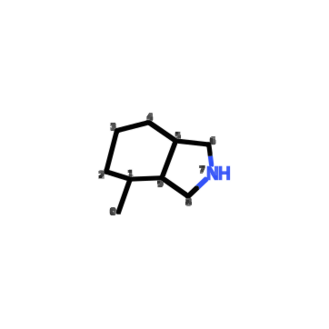 CC1CCCC2CNCC12